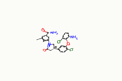 Cc1cc(C(N)=O)cc(N2C[C@@H](c3ccc(Cl)c(Oc4c(N)cccc4Cl)c3)CC2=O)c1